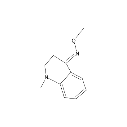 CON=C1CCN(C)c2ccccc21